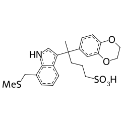 CSCc1cccc2c(C(C)(CCCS(=O)(=O)O)c3ccc4c(c3)OCCO4)c[nH]c12